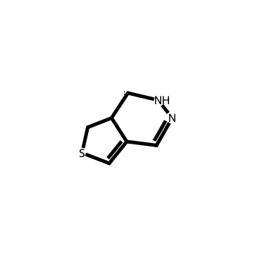 [C]1NN=CC2=CSCC12